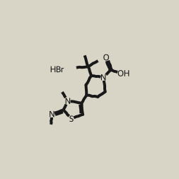 Br.C/N=c1\scc(C2CCN(C(=O)O)C(C(C)(C)C)C2)n1C